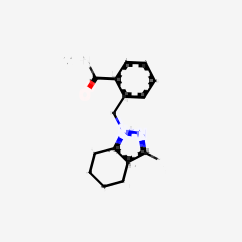 CNC(=O)c1ccccc1Cn1nc(C(F)(F)F)c2c1CCCC2